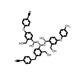 Cc1ccc(Oc2ccc(B(O)OB(OB(O)c3ccc(Oc4ccc(C#N)cc4)cc3CO)c3ccc(Cc4ccc(C#N)cc4)cc3CO)c(CO)c2)cc1